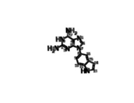 NC1=Nc2c(ncn2-c2ccc3[nH]ccc3c2)C(N)N1